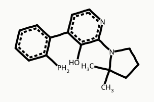 CC1(C)CCCN1c1nccc(-c2ccccc2P)c1O